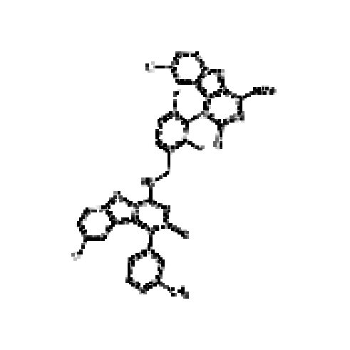 CNc1nc(=O)n(-c2c(F)ccc(CNc3nc(=O)n(-c4ccnc(C)c4)c4c3oc3ccc(Cl)cc34)c2F)c2c1oc1ccc(Cl)cc12